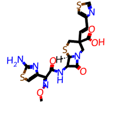 CON=C(C(=O)NC1C(=O)N2CC(C=Cc3cscn3)(C(=O)O)CS[C@H]12)c1csc(N)n1